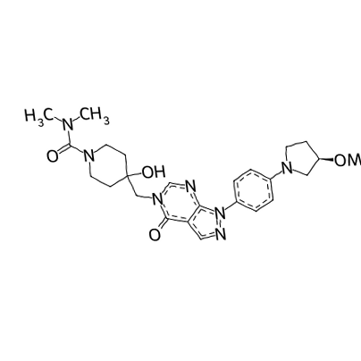 CO[C@@H]1CCN(c2ccc(-n3ncc4c(=O)n(CC5(O)CCN(C(=O)N(C)C)CC5)cnc43)cc2)C1